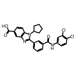 O=C(O)c1ccc2c(c1)nc(-c1cccc(C(=O)Nc3ccc(Cl)c(Cl)c3)c1)n2C1CCCC1